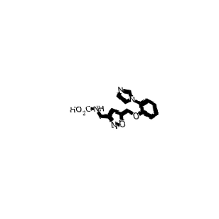 O=C(O)NCC1=NOC(COc2ccccc2-n2ccnc2)C1